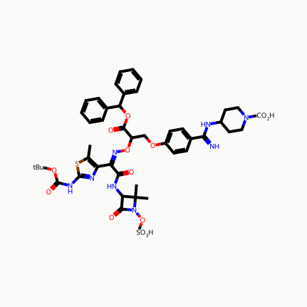 Cc1sc(NC(=O)OC(C)(C)C)nc1C(=NOC(COc1ccc(C(=N)NC2CCN(C(=O)O)CC2)cc1)C(=O)OC(c1ccccc1)c1ccccc1)C(=O)NC1C(=O)N(OS(=O)(=O)O)C1(C)C